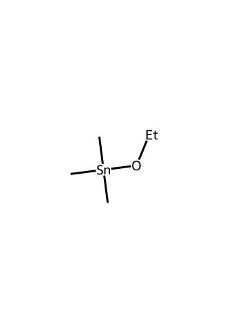 CC[O][Sn]([CH3])([CH3])[CH3]